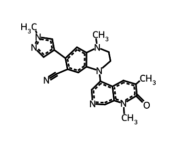 Cc1cc2c(N3CCN(C)c4cc(-c5cnn(C)c5)c(C#N)cc43)cncc2n(C)c1=O